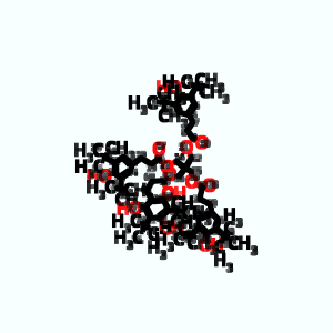 CC(C)(C)c1cc(CCC(=O)OCC(COC(=O)CCc2cc(C(C)(C)C)c(O)c(C(C)(C)C)c2)(COC(=O)CCc2cc(C(C)(C)C)c(O)c(C(C)(C)C)c2)COC(O)CCc2cc(C(C)(C)C)c(O)c(C(C)(C)C)c2O)cc(C(C)(C)C)c1O